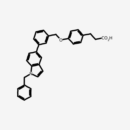 O=C(O)CCc1ccc(OCc2cccc(-c3ccc4c(ccn4Cc4ccccc4)c3)c2)cc1